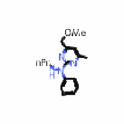 CCCNN(c1ccccc1)c1nc(C)cc(COC)n1